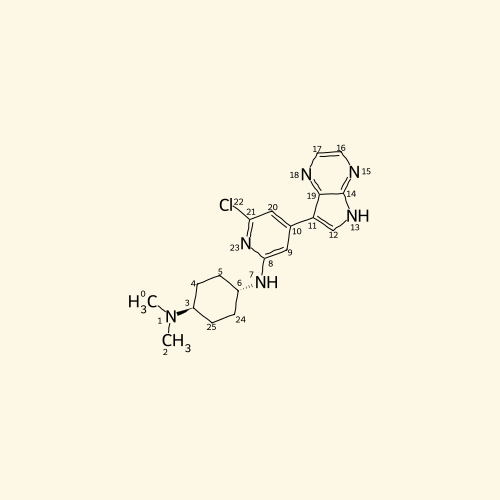 CN(C)[C@H]1CC[C@H](Nc2cc(-c3c[nH]c4nccnc34)cc(Cl)n2)CC1